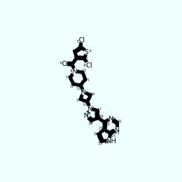 O=C(c1cc(Cl)sc1Cl)N1CCC(N2CC(n3cc(-c4ncnc5[nH]ccc45)cn3)C2)CC1